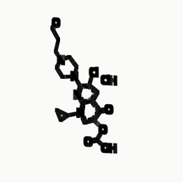 Cl.O=CCCN1CCN(c2nc3c(cc2Cl)c(=O)c(OC(=O)O)cn3C2CC2)CC1